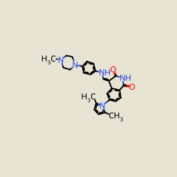 Cc1ccc(C)n1-c1ccc2c(c1)C(=CNc1ccc(N3CCN(C)CC3)cc1)C(=O)NC2=O